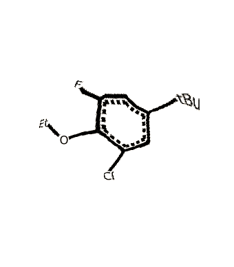 CCOc1c(F)cc(C(C)(C)C)cc1Cl